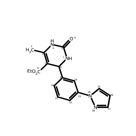 CCOC(=O)C1=C(C)NC(=O)NC1c1cccc(-n2cccn2)c1